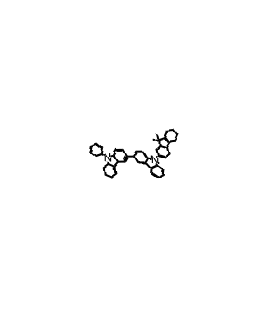 CC1(C)C2=C(CCCC2)C2CC=C(N3C4=CCC(C5=CC6C7=CCCCC7N(C7C=CC=CC7)C6C=C5)C=C4C4C=CC=CC43)CC21